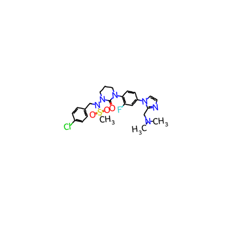 CN(C)Cc1nccn1-c1ccc(N2CCCN(N(Cc3ccc(Cl)cc3)S(C)(=O)=O)C2=O)c(F)c1